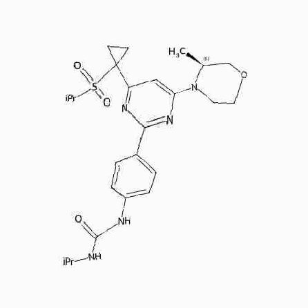 CC(C)NC(=O)Nc1ccc(-c2nc(N3CCOC[C@@H]3C)cc(C3(S(=O)(=O)C(C)C)CC3)n2)cc1